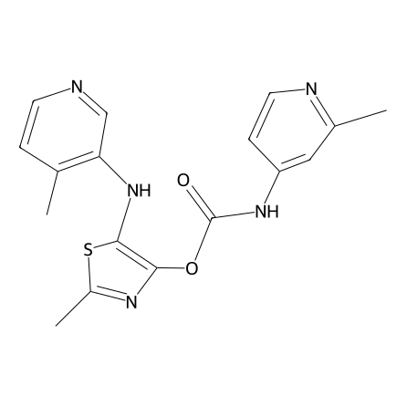 Cc1cc(NC(=O)Oc2nc(C)sc2Nc2cnccc2C)ccn1